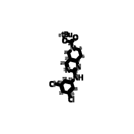 CC(C)(C)OC(=O)N1CCc2nc(Nc3cc(Cl)cc(Cl)c3)ncc2C1